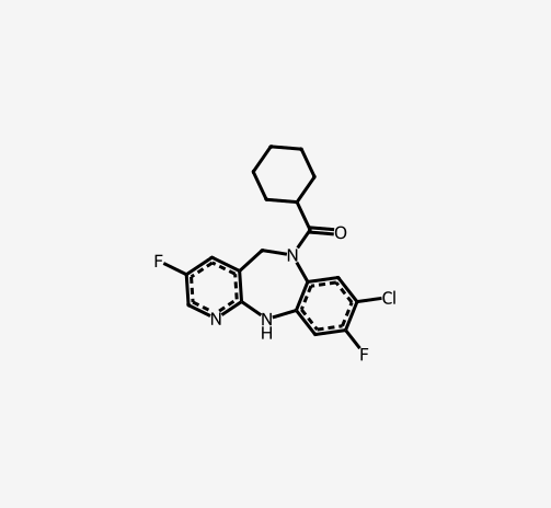 O=C(C1CCCCC1)N1Cc2cc(F)cnc2Nc2cc(F)c(Cl)cc21